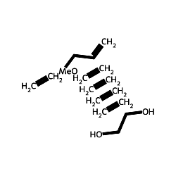 C=C.C=C.C=C.C=C.C=C.C=CCOC.OCCO